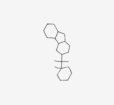 CC1(C(C)(C)C2CCC3CC4CCCCC4C3C2)CCCCC1